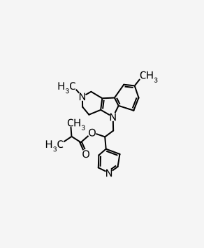 Cc1ccc2c(c1)c1c(n2CC(OC(=O)C(C)C)c2ccncc2)CCN(C)C1